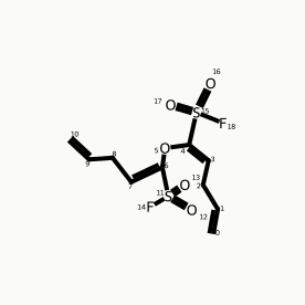 C=CC/C=C(\O/C(=C\CC=C)S(=O)(=O)F)S(=O)(=O)F